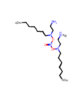 CCCCCCCCCCCCCCCCN(CCN)O[N+](=O)ON(CCN)CCCCCCCCCCCCCCCC.[Ag]